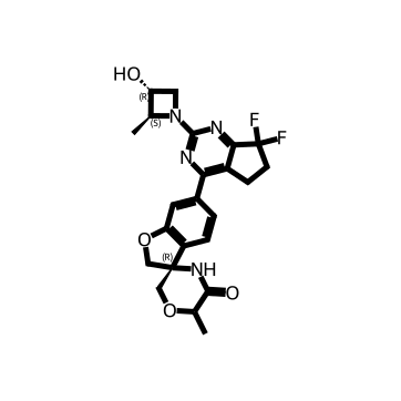 CC1OC[C@]2(COc3cc(-c4nc(N5C[C@@H](O)[C@@H]5C)nc5c4CCC5(F)F)ccc32)NC1=O